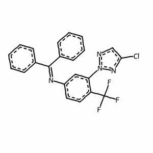 FC(F)(F)c1ccc(N=C(c2ccccc2)c2ccccc2)cc1-n1ncc(Cl)n1